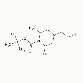 CC1CN(CCBr)CC(C)N1C(=O)OC(C)(C)C